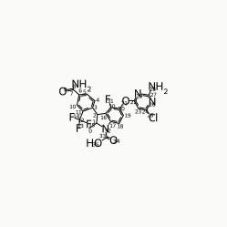 CC1C(c2ccc(C(N)=O)cc2C(F)(F)F)c2c(ccc(Oc3cc(Cl)nc(N)n3)c2F)N1C(=O)O